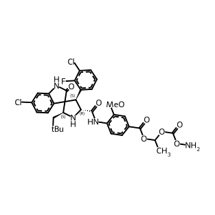 COc1cc(C(=O)OC(C)OC(=O)ON)ccc1NC(=O)[C@@H]1N[C@@H](CC(C)(C)C)C2(C(=O)Nc3cc(Cl)ccc32)[C@H]1c1cccc(Cl)c1F